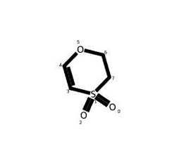 O=S1(=O)C=COCC1